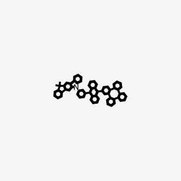 CC1(C)c2ccccc2-c2cc3c(cc21)c1ccccc1n3-c1cccc(-c2c3ccccc3c(-c3ccc4c(c3)-c3ccccc3-c3ccccc3-c3ccccc3-4)c3ccccc23)c1